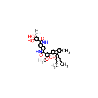 CCCCCCC1(CCCCCC)c2cc(C)ccc2-c2ccc(-c3cc(C4=c5ccc6c7c(ccc6c5NC4=O)=C(c4cc(C)c(O)c(O)c4)C(=O)N7)cc(OC)c3O)cc21